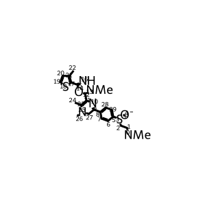 CNCC[S+]([O-])c1ccc(C2=NC(C(NC)OC(=N)c3sccc3C)=C(C)N(C)C2)cc1